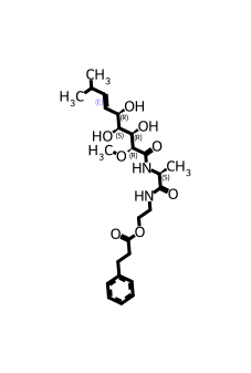 CO[C@@H](C(=O)N[C@@H](C)C(=O)NCCOC(=O)CCc1ccccc1)[C@H](O)[C@@H](O)[C@H](O)/C=C/C(C)C